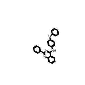 c1ccc(Oc2ccc(Nc3nc(-c4ccccc4)nc4ccccc34)cc2)cc1